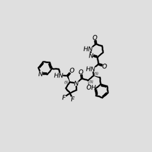 O=C1CCC(C(=O)N[C@@H](Cc2ccccc2)[C@H](O)C(=O)N2CC(F)(F)C[C@H]2C(=O)NCc2cccnc2)=NN1